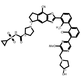 COc1nc(-c2cccc(-c3cccc(-c4nc5cc6c(c(C#N)c5o4)CC[C@H]6N4CC[C@@H](C(=O)NS(=O)(=O)C5CC5)C4)c3C)c2Cl)cnc1CN1CC[C@@H](O)C1